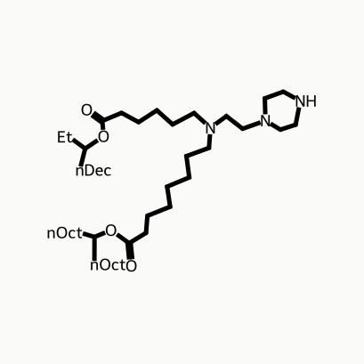 CCCCCCCCCCC(CC)OC(=O)CCCCCN(CCCCCCCC(=O)OC(CCCCCCCC)CCCCCCCC)CCN1CCNCC1